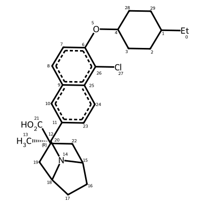 CCC1CCC(Oc2ccc3cc([C@@H](C)N4C5CCC4CC(C(=O)O)C5)ccc3c2Cl)CC1